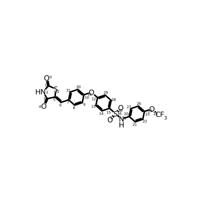 O=C1NC(=O)C(=Cc2ccc(Oc3ccc(S(=O)(=O)Nc4ccc(OC(F)(F)F)cc4)cc3)cc2)S1